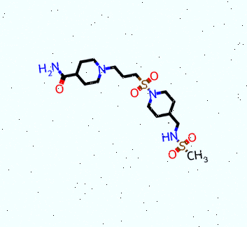 CS(=O)(=O)NCC1CCN(S(=O)(=O)CCCN2CCC(C(N)=O)CC2)CC1